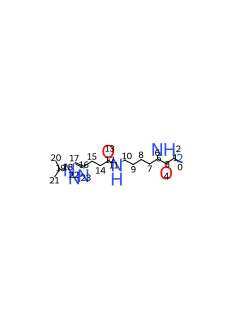 CC(C)C(=O)C(N)CCCCNC(=O)CCc1cn(C(C)C)nn1